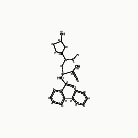 CSC(CC(NC(=O)c1ccccc1-c1ccccc1)C(=O)O)N1CCC(O)C1